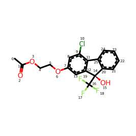 CC(=O)OCCOc1cc(Cl)c2c(c1)[C@@](O)(C(F)(F)F)c1ccccc1-2